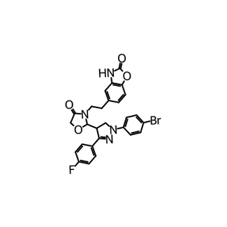 O=C1COC(C2CN(c3ccc(Br)cc3)N=C2c2ccc(F)cc2)N1CCc1ccc2oc(=O)[nH]c2c1